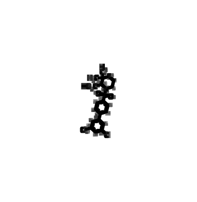 CC1(C)SCCN(S(=O)(=O)c2ccc(-c3cc(Cl)cc(Cl)c3)cc2)[C@H]1C(=O)O